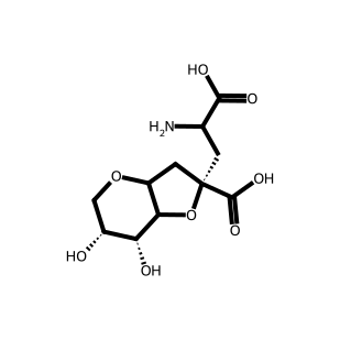 NC(C[C@@]1(C(=O)O)CC2OC[C@@H](O)[C@@H](O)C2O1)C(=O)O